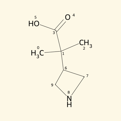 CC(C)(C(=O)O)C1CNC1